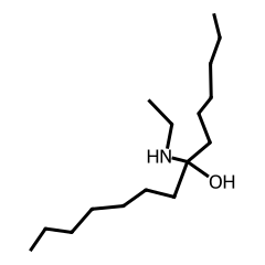 CCCCCCCC(O)(CCCCCC)NCC